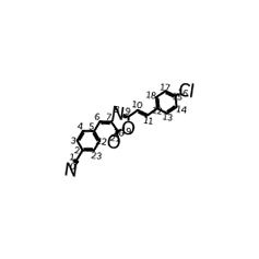 N#Cc1ccc(C=C2N=C(C=Cc3ccc(Cl)cc3)OC2=O)cc1